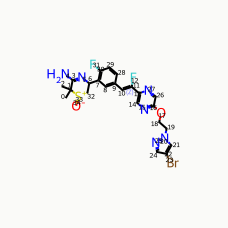 CC1(C)C(N)=NC(c2cc(/C=C(\F)c3cnc(OCCn4cc(Br)cn4)cn3)ccc2F)C[S+]1[O-]